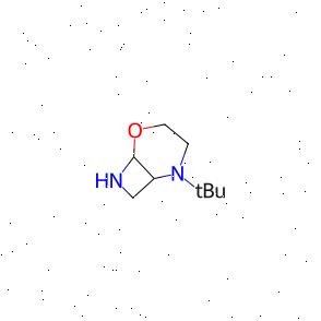 CC(C)(C)N1CCOC2NCC21